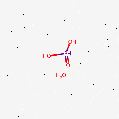 O.O=[PH](O)O